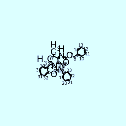 CC(C)C(NC(=O)OCc1ccccc1)c1nn(-c2ccccc2)c(=O)n1Cc1ccccc1